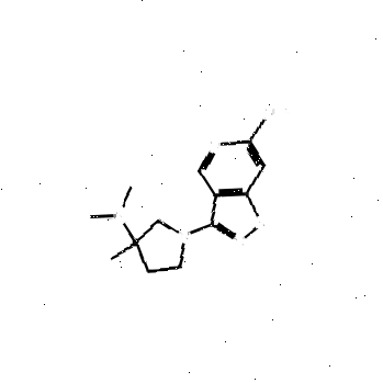 CC(=O)Nc1cc2[nH]nc(N3CCC(C)(N(C)C)C3)c2cn1